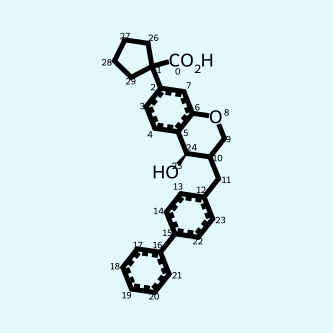 O=C(O)C1(c2ccc3c(c2)OCC(Cc2ccc(-c4ccccc4)cc2)[C@H]3O)CCCC1